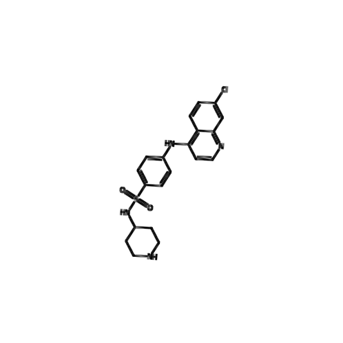 O=S(=O)(NC1CCNCC1)c1ccc(Nc2ccnc3cc(Cl)ccc23)cc1